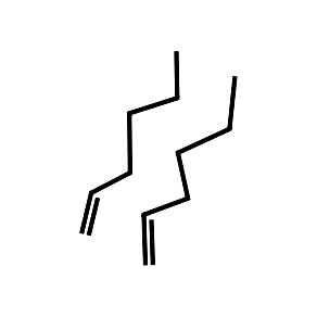 C=CCCCC.C=CCCCC